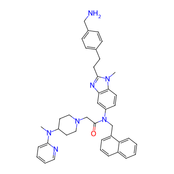 CN(c1ccccn1)C1CCN(CC(=O)N(Cc2cccc3ccccc23)c2ccc3c(c2)nc(CCc2ccc(CN)cc2)n3C)CC1